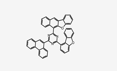 c1ccc2c(-c3nc(-c4cc5ccccc5c5ccccc45)nc(-c4cccc5oc6ccccc6c45)n3)c3oc4ccccc4c3cc2c1